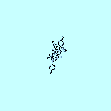 C[C@]12C=CC(=O)C=C1[C@@H](F)C[C@H]1[C@@H]3C[C@H]4CN(c5ccc(Cl)cc5)O[C@@]4(C(=O)CBr)[C@@]3(C)C[C@H](O)[C@@]12F